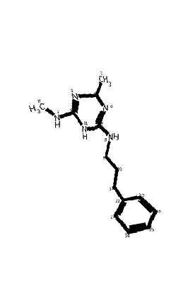 CNC1=NC(C)N=C(NCCCc2ccccc2)N1